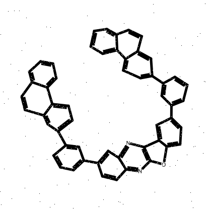 c1cc(-c2ccc3c(ccc4ccccc43)c2)cc(-c2ccc3nc4oc5ccc(-c6cccc(-c7ccc8c(ccc9ccccc98)c7)c6)cc5c4nc3c2)c1